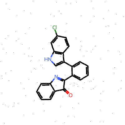 O=C1C(c2ccccc2-c2c[nH]c3cc(Cl)ccc23)=Nc2ccccc21